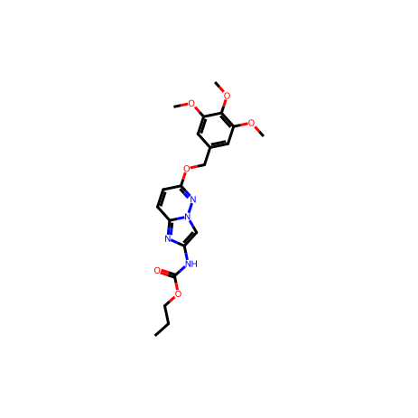 CCCOC(=O)Nc1cn2nc(OCc3cc(OC)c(OC)c(OC)c3)ccc2n1